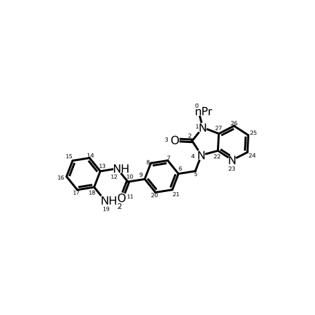 CCCn1c(=O)n(Cc2ccc(C(=O)Nc3ccccc3N)cc2)c2ncccc21